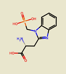 N[C@H](Cc1nc2ccccc2n1CP(=O)(O)O)C(=O)O